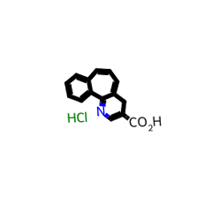 Cl.O=C(O)C1=CN=C2C(=CC=Cc3ccccc32)C1